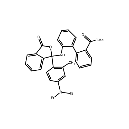 CCN(CC)c1ccc(C2(Nc3ccccc3-c3ccccc3C(=O)OC)OC(=O)c3ccccc32)c(C)c1